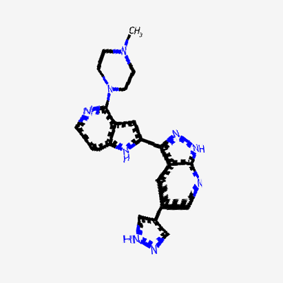 CN1CCN(c2nccc3[nH]c(-c4n[nH]c5ncc(-c6cn[nH]c6)cc45)cc23)CC1